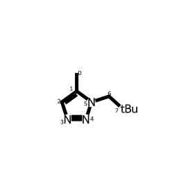 Cc1cnnn1CC(C)(C)C